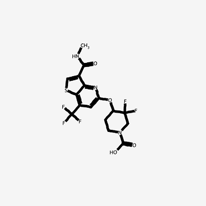 CNC(=O)c1csc2c(C(F)(F)F)cc(OC3CCN(C(=O)O)CC3(F)F)nc12